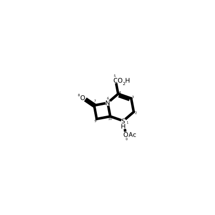 CC(=O)O[SH]1CC=C(C(=O)O)N2C(=O)CC21